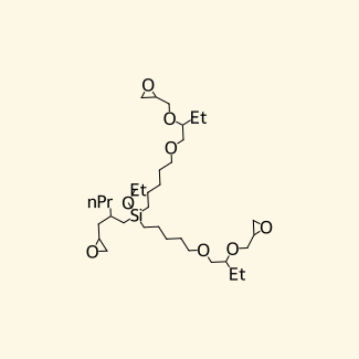 CCCC(CC1CO1)C[Si](CCCCCOCC(CC)OCC1CO1)(CCCCCOCC(CC)OCC1CO1)OCC